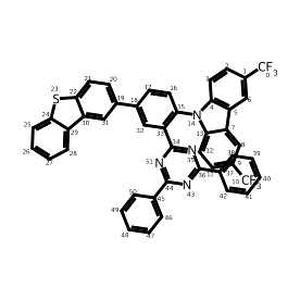 FC(F)(F)c1ccc2c(c1)c1cc(C(F)(F)F)ccc1n2-c1ccc(-c2ccc3sc4ccccc4c3c2)cc1-c1nc(-c2ccccc2)nc(-c2ccccc2)n1